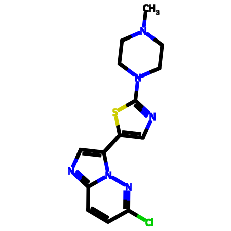 CN1CCN(c2ncc(-c3cnc4ccc(Cl)nn34)s2)CC1